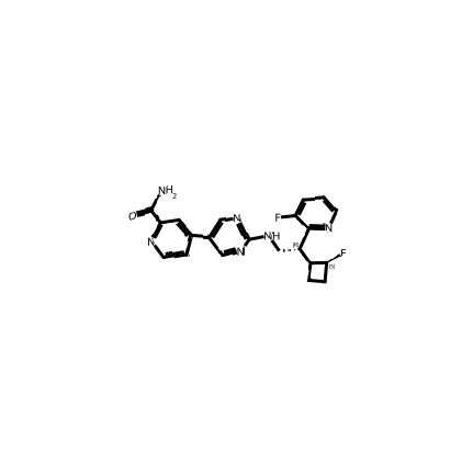 NC(=O)c1cc(-c2cnc(NC[C@H](c3ncccc3F)C3CC[C@@H]3F)nc2)ccn1